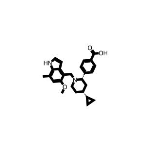 COc1cc(C)c2[nH]ccc2c1CN1CC[C@@H](C2CC2)C[C@H]1c1ccc(C(=O)O)cc1